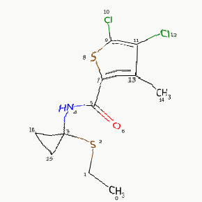 CCSC1(NC(=O)c2sc(Cl)c(Cl)c2C)CC1